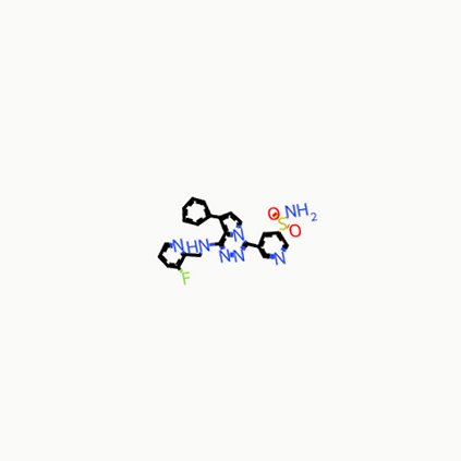 NS(=O)(=O)c1cncc(-c2nnc(NCc3ncccc3F)c3c(-c4ccccc4)ccn23)c1